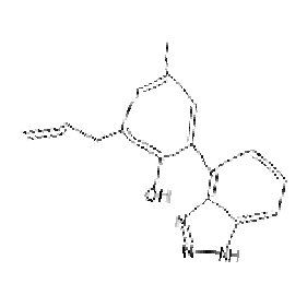 C=CCc1cc(C)cc(-c2cccc3[nH]nnc23)c1O